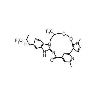 Cc1cc2cc(n1)-c1cnn(C)c1OCCC[C@@H](C(F)(F)F)CN1/C(=N/C2=O)Nc2cc(N[C@@H](C)C(F)(F)F)ccc21